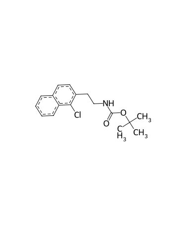 CC(C)(C)OC(=O)NCCc1ccc2ccccc2c1Cl